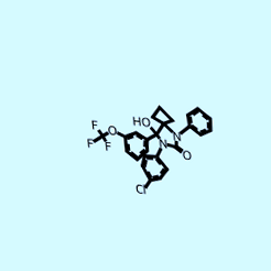 O=C1N(c2ccccc2)C2(CCC2)C(O)(c2cccc(OC(F)(F)F)c2)N1c1ccc(Cl)cc1